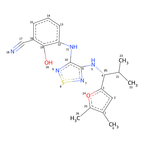 Cc1cc([C@H](Nc2nsnc2Nc2cccc(C#N)c2O)C(C)C)oc1C